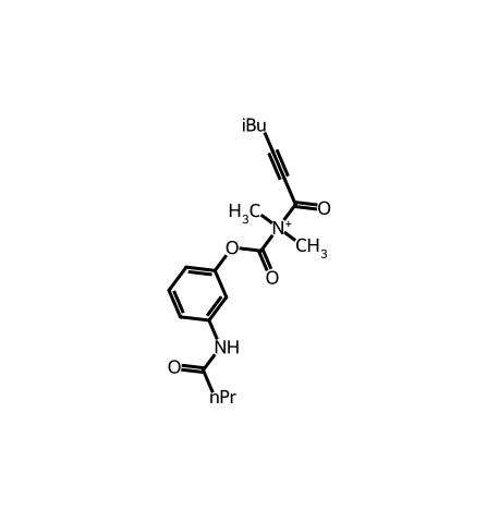 CCCC(=O)Nc1cccc(OC(=O)[N+](C)(C)C(=O)C#CC(C)CC)c1